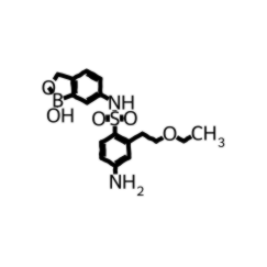 CCOCCc1cc(N)ccc1S(=O)(=O)Nc1ccc2c(c1)B(O)OC2